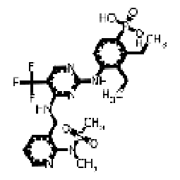 CCc1c(Nc2ncc(C(F)(F)F)c(NCc3cccnc3N(C)S(C)(=O)=O)n2)ccc(P(=O)(O)O)c1CC